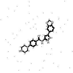 O=C(Nc1cc(-c2ccc3c(c2)OCO3)n[nH]1)c1ccc(N2CCNCC2)cc1